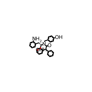 NC(=O)[C@@H](Cc1ccccc1N)N(Cc1ccc(O)cc1)C(=O)C(c1ccccc1)c1ccccc1